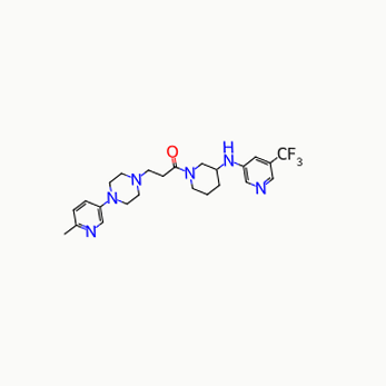 Cc1ccc(N2CCN(CCC(=O)N3CCCC(Nc4cncc(C(F)(F)F)c4)C3)CC2)cn1